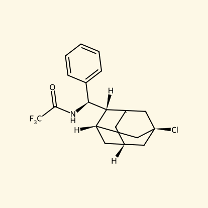 O=C(N[C@@H](c1ccccc1)[C@@H]1[C]2C[C@H]3C[C@H]1C[C@](Cl)(C2)C3)C(F)(F)F